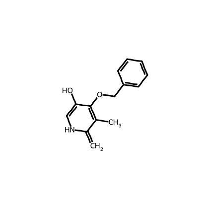 C=C1NC=C(O)C(OCc2ccccc2)=C1C